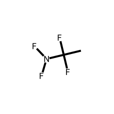 CC(F)(F)N(F)F